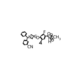 CS(=O)(=O)NC(=O)c1cc(C2CC2)c(OCC2CN([C@H](c3ccccc3)c3cccc(C#N)c3)C2)cc1F